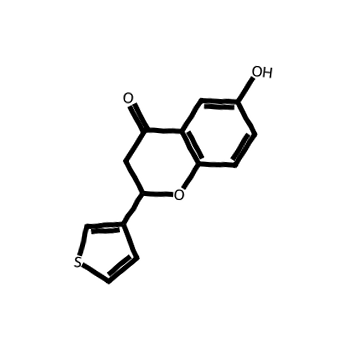 O=C1CC(c2ccsc2)Oc2ccc(O)cc21